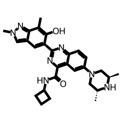 Cc1c(O)c(-c2nc(C(=O)NC3CCC3)c3cc(N4C[C@@H](C)N[C@H](C)C4)ccc3n2)cc2cn(C)nc12